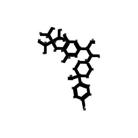 Cc1cc(C(O)C(C)N2CCC(O)(c3ccc(F)cc3)CC2)cc(C)c1O[Si](C(C)C)(C(C)C)C(C)C